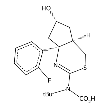 CC(C)(C)N(C(=O)O)C1=N[C@@]2(c3ccccc3F)C[C@H](O)C[C@H]2CS1